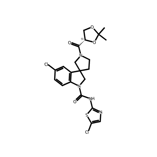 CC1(C)OC[C@@H](C(=O)N2CCC3(C2)CN(C(=O)Nc2ncc(Cl)s2)c2ccc(Cl)cc23)O1